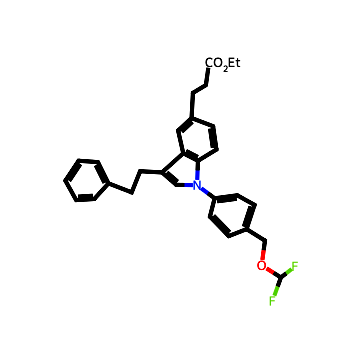 CCOC(=O)CCc1ccc2c(c1)c(CCc1ccccc1)cn2-c1ccc(COC(F)F)cc1